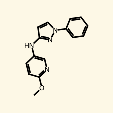 COc1ccc(Nc2ccn(-c3ccccc3)n2)cn1